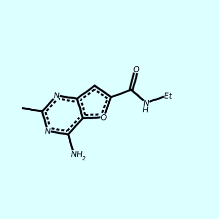 CCNC(=O)c1cc2nc(C)nc(N)c2o1